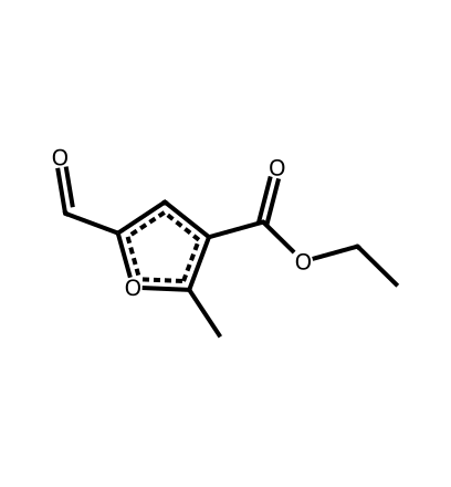 CCOC(=O)c1cc(C=O)oc1C